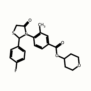 Cc1cc(C(=O)OC2CCOCC2)ccc1N1C(=O)CSC1c1ccc(F)cc1